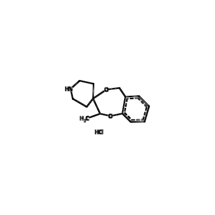 CC1Oc2ccccc2COC12CCNCC2.Cl